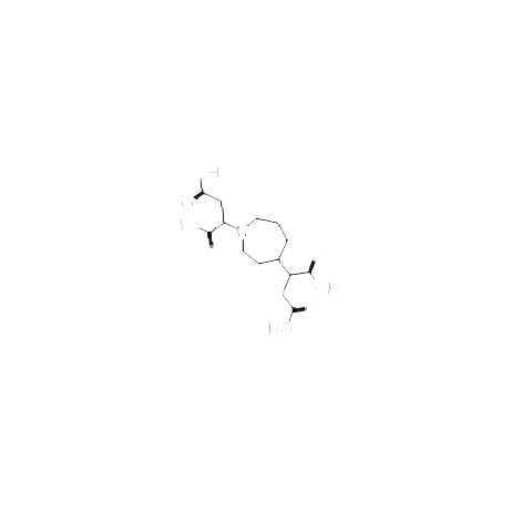 O=C(O)CC(C(=O)O)C1CCCN(C(CC(=O)O)C(=O)O)CC1